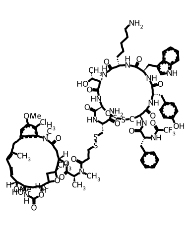 COc1cc2cc(c1Cl)N(C)C(=O)C[C@H](OC(=O)[C@H](C)N(C)C(=O)CCSSC[C@H](NC(=O)[C@@H]1CSSC[C@H](NC(=O)[C@@H](Cc3ccccc3)NC(=O)C(F)(F)F)C(=O)N[C@@H](Cc3ccc(O)cc3)C(=O)N[C@H](Cc3c[nH]c4ccccc34)C(=O)N[C@@H](CCCCCN)C(=O)N[C@@H]([C@@H](C)O)C(=O)N1)C(N)=O)[C@@]1(C)CC(C)(O1)[C@@H]1C[C@@](O)(NC(=O)O1)[C@H](OC)/C=C/C=C(\C)C2